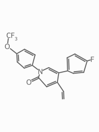 C=Cc1cc(=O)n(-c2ccc(OC(F)(F)F)cc2)cc1-c1ccc(F)cc1